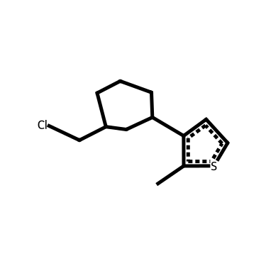 Cc1sccc1C1CCCC(CCl)C1